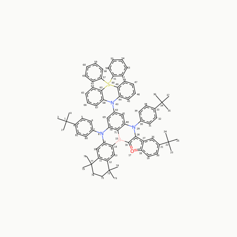 CC(C)(C)c1ccc(N2c3cc4c(cc3B3c5oc6ccc(C(C)(C)C)cc6c5N(c5ccc(C(C)(C)C)cc5)c5cc(N6c7ccccc7S(c7ccccc7)(c7ccccc7)c7ccccc76)cc2c53)C(C)(C)CCC4(C)C)cc1